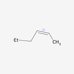 C[CH]C/C=C\C